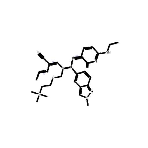 C=C1N=C(NCC)C=C/C1=N/N(c1ccc2nn(C)cc2c1)N(/C=C(C#N)\C=C\C)COCC[Si](C)(C)C